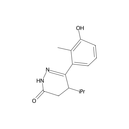 Cc1c(O)cccc1C1=NNC(=O)CC1C(C)C